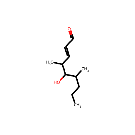 CCCC(C)C(O)C(C)C=CC=O